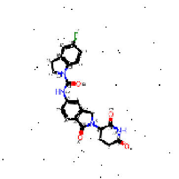 O=C1CCC(N2Cc3cc(NC(=O)N4CCc5cc(F)ccc54)ccc3C2=O)C(=O)N1